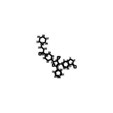 O=C1CCc2cc(C3=C(c4ccncc4)OC(C4CCN(C(=O)CCN5CCCCC5)CC4)C3=O)ccc21